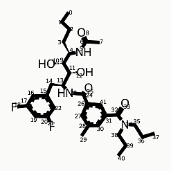 CCCC[C@@H](NC(C)=O)[C@@H](O)[C@H](O)[C@H](Cc1cc(F)cc(F)c1)NC(=O)c1cc(C)cc(C(=O)N(CCC)CCC)c1